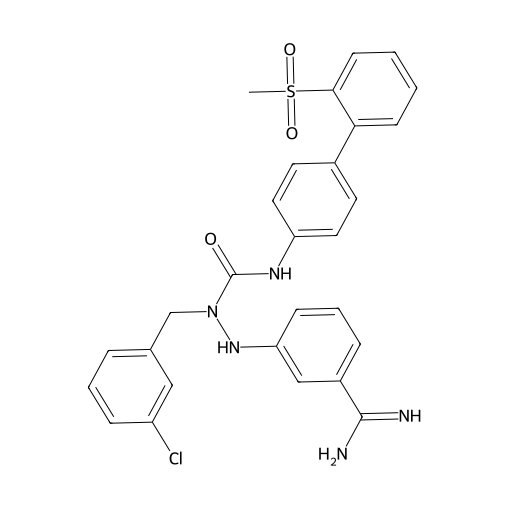 CS(=O)(=O)c1ccccc1-c1ccc(NC(=O)N(Cc2cccc(Cl)c2)Nc2cccc(C(=N)N)c2)cc1